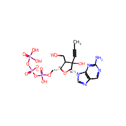 CC#CC1(O)C(CO)[C@@H](COP(=O)(O)OP(=O)(O)OP(=O)(O)O)O[C@H]1n1cnc2cnc(N)nc21